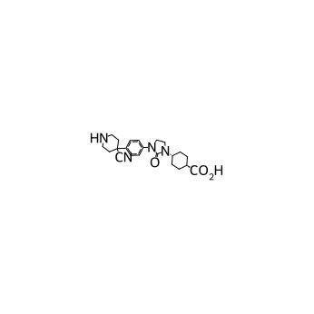 N#CC1(c2ccc(N3CCN([C@H]4CC[C@H](C(=O)O)CC4)C3=O)cc2)CCNCC1